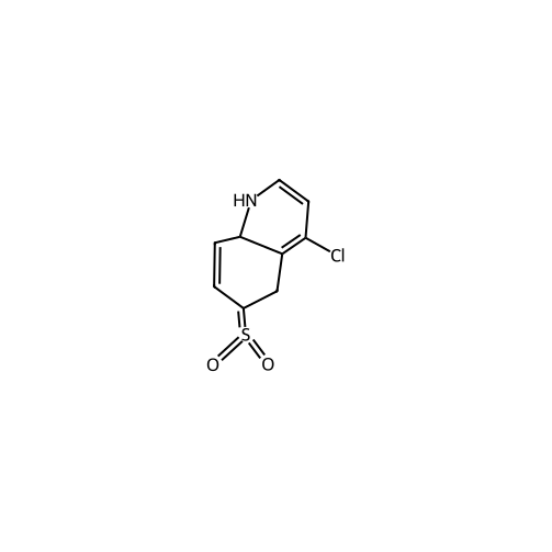 O=S(=O)=C1C=CC2NC=CC(Cl)=C2C1